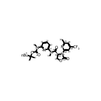 CCCCC(C)(C)OC(=O)N(C)c1cccc(N(C)C(=O)[C@@H]2COC(=O)N2c2cc(C(F)(F)F)cc(C)n2)n1